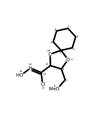 COCC1OC2(CCCCC2)OC1/C(Cl)=N/O